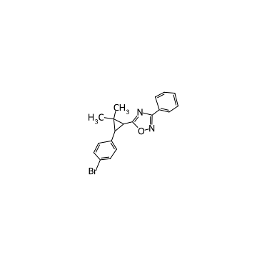 CC1(C)C(c2ccc(Br)cc2)C1c1nc(-c2ccccc2)no1